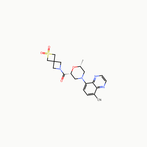 C[C@@H]1CN(c2ccc(C#N)c3nccnc23)C[C@H](C(=O)N2CC3(C2)CS(=O)(=O)C3)O1